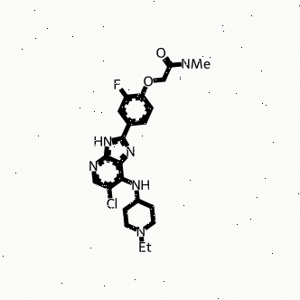 CCN1CCC(Nc2c(Cl)cnc3[nH]c(-c4ccc(OCC(=O)NC)c(F)c4)nc23)CC1